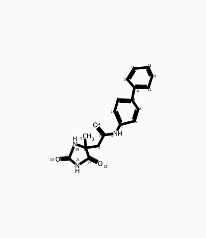 CC1(CC(=O)Nc2ccc(-c3ccccc3)cc2)NC(=O)NC1=O